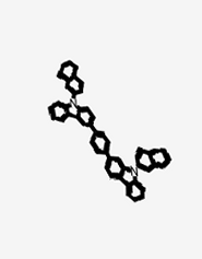 c1ccc2cc(-n3c4ccccc4c4cc(-c5ccc(-c6ccc7c8ccccc8n(-c8ccc9ccccc9c8)c7c6)cc5)ccc43)ccc2c1